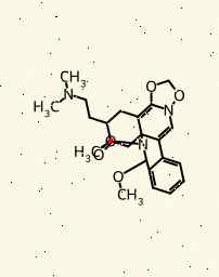 COC1c2ccccc2C2=CN3OCOC3=C3CC(CCN(C)C)C(=O)CC23N1OC